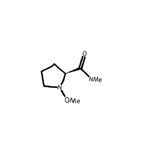 CNC(=O)[C@@H]1CCCN1OC